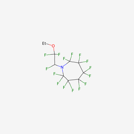 CCOC(F)(F)C(F)N1C(F)(F)C(F)(F)C(F)(F)C(F)(F)C(F)(F)C1(F)F